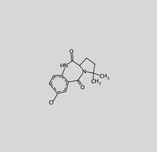 CC1(C)CCC2C(=O)Nc3ccc(Cl)cc3C(=O)N21